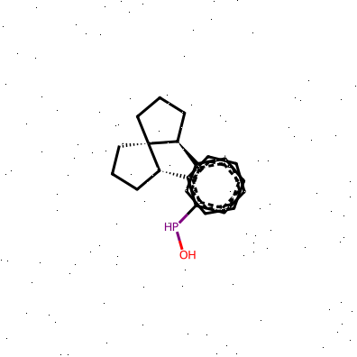 OPc1ccccc1[C@@H]1CCC[C@@]12CCC[C@H]2c1[c]cccc1